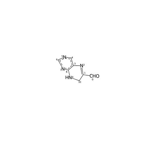 O=CC1=Nc2cncnc2NC1